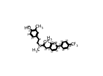 Cc1cc(CCN(C)C(=O)Cc2ccc(-c3ccc(C(F)(F)F)cc3)nc2C)ccc1O